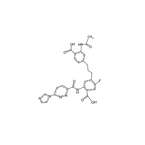 CC(=O)Nc1cc(CCCc2cc(NC(=O)c3ccc(-n4ccnc4)nn3)c(C(=O)O)cc2F)ccc1C(=O)O